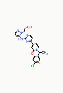 C=C(c1ccc(Cl)c(F)c1)n1ccc(-c2ccnc(Nc3ccnn3CCO)n2)cc1=O